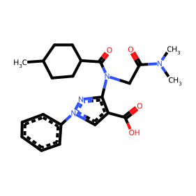 CC1CCC(C(=O)N(CC(=O)N(C)C)c2nn(-c3ccccc3)cc2C(=O)O)CC1